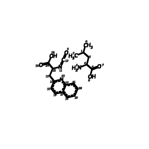 CC(C)CC(N)C(=O)O.O=C=NC(Cc1ccc2ccccc2n1)C(=O)O